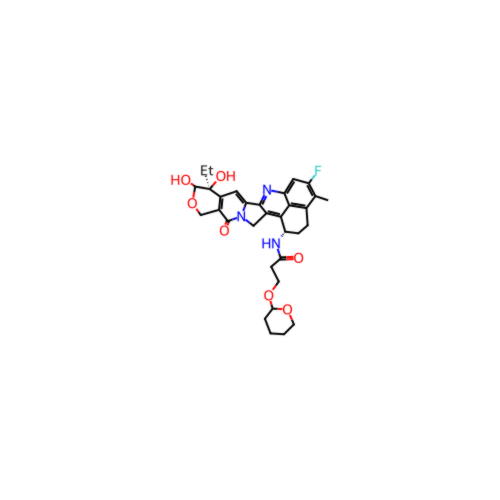 CC[C@]1(O)c2cc3n(c(=O)c2COC1O)Cc1c-3nc2cc(F)c(C)c3c2c1[C@@H](NC(=O)CCOC1CCCCO1)CC3